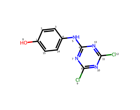 Oc1ccc(Nc2nc(Cl)nc(Cl)n2)cc1